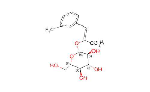 O=C(O)C(=Cc1cccc(C(F)(F)F)c1)O[C@H]1O[C@@H](CO)[C@H](O)[C@@H](O)[C@@H]1O